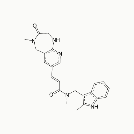 Cc1[nH]c2ccccc2c1CN(C)C(=O)/C=C/c1cnc2c(c1)CN(C)C(=O)CN2